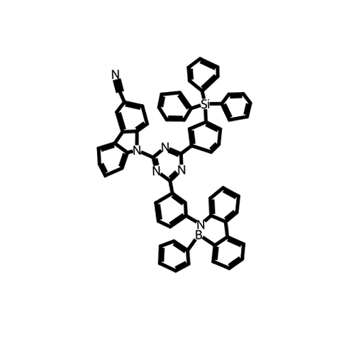 N#Cc1ccc2c(c1)c1ccccc1n2-c1nc(-c2cccc(N3B(c4ccccc4)c4ccccc4-c4ccccc43)c2)nc(-c2cccc([Si](c3ccccc3)(c3ccccc3)c3ccccc3)c2)n1